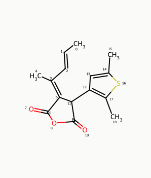 CC=CC(C)=C1C(=O)OC(=O)C1c1cc(C)sc1C